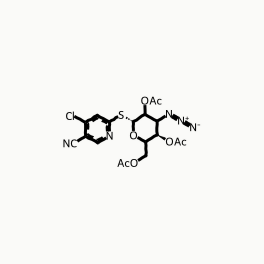 CC(=O)OCC1O[C@H](Sc2cc(Cl)c(C#N)cn2)C(OC(C)=O)C(N=[N+]=[N-])[C@H]1OC(C)=O